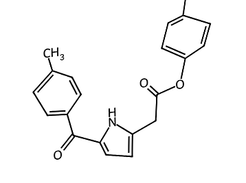 CC(=O)Nc1ccc(OC(=O)Cc2ccc(C(=O)c3ccc(C)cc3)[nH]2)cc1